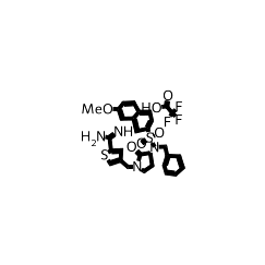 COc1ccc2ccc(S(=O)(=O)N(Cc3ccccc3)C3CCN(Cc4csc(C(=N)N)c4)C3=O)cc2c1.O=C(O)C(F)(F)F